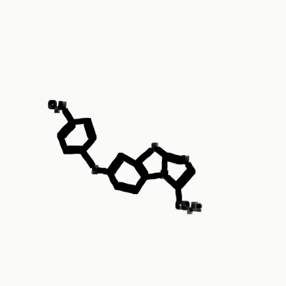 CCOC(=O)c1cnc2sc3cc(Sc4ccc([N+](=O)[O-])cc4)ccc3n12